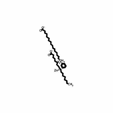 CCCCCCCCCCCCCCCCCC(=O)[O-].CCCCCCCCCCCCCCCCCC(=O)[O-].Cc1ccccc1.[Zn+2]